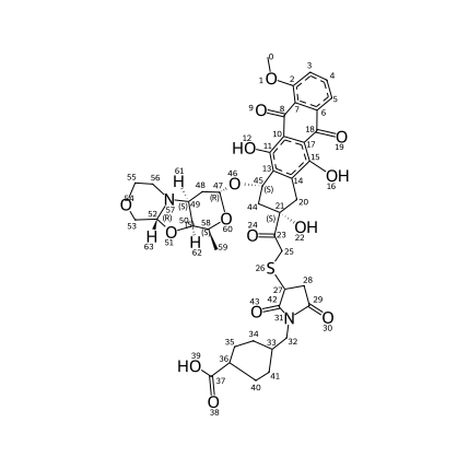 COc1cccc2c1C(=O)c1c(O)c3c(c(O)c1C2=O)C[C@@](O)(C(=O)CSC1CC(=O)N(CC2CCC(C(=O)O)CC2)C1=O)C[C@@H]3O[C@H]1C[C@H]2[C@H](O[C@@H]3COCCN32)[C@H](C)O1